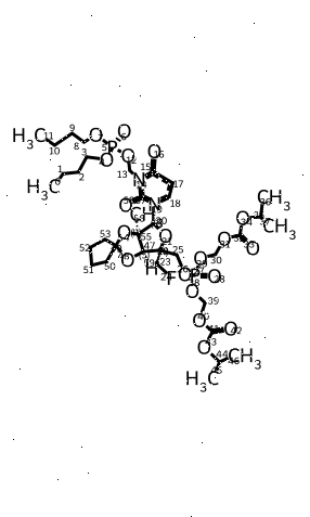 CCCCOP(=O)(OCCCC)OCn1c(=O)ccn([C@@H]2O[C@](CF)(COP(=O)(OCOC(=O)OC(C)C)OCOC(=O)OC(C)C)[C@H]3OC4(CCCC4)O[C@]32C)c1=O